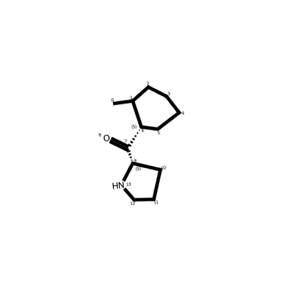 CC1CCCC[C@@H]1C(=O)[C@@H]1CCCN1